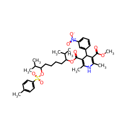 COC(=O)C1=C(C)NC(C)=C(C(=O)OC(CCCCC(OS(=O)(=O)c2ccc(C)cc2)C(C)C)C(C)C)C1c1cccc([N+](=O)[O-])c1